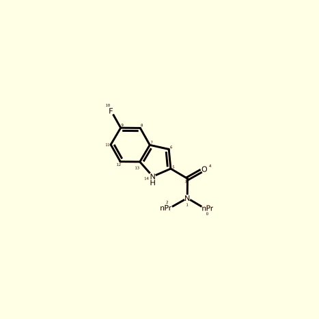 CCCN(CCC)C(=O)c1cc2cc(F)ccc2[nH]1